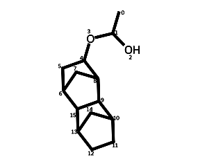 CC(O)OC1CC2CC1C1C3CCC(C3)C21